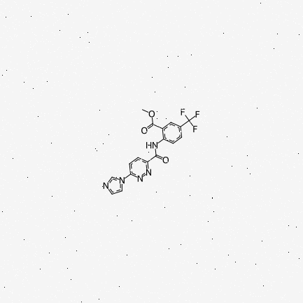 COC(=O)c1cc(C(F)(F)F)ccc1NC(=O)c1ccc(-n2ccnc2)nn1